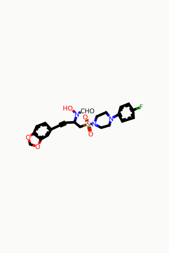 O=CN(O)C(C#Cc1ccc2c(c1)OCO2)CS(=O)(=O)N1CCN(c2ccc(F)cc2)CC1